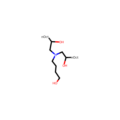 CCCCCCCCC(O)CN(CCCCO)CC(O)CCCCCCCC